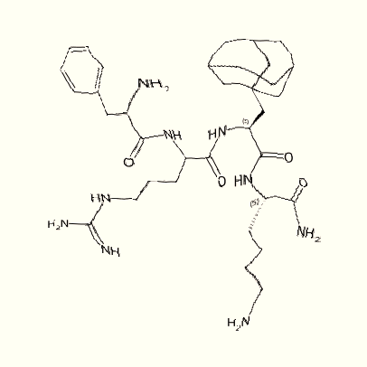 N=C(N)NCCCC(NC(=O)C(N)Cc1ccccc1)C(=O)N[C@@H](CC12CC3CC(CC(C3)C1)C2)C(=O)N[C@@H](CCCCN)C(N)=O